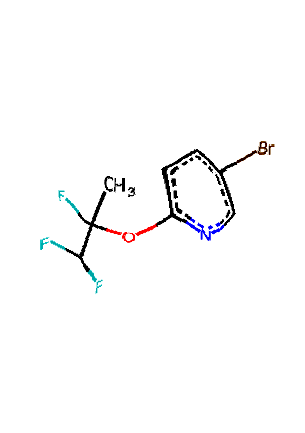 CC(F)(Oc1ccc(Br)cn1)C(F)F